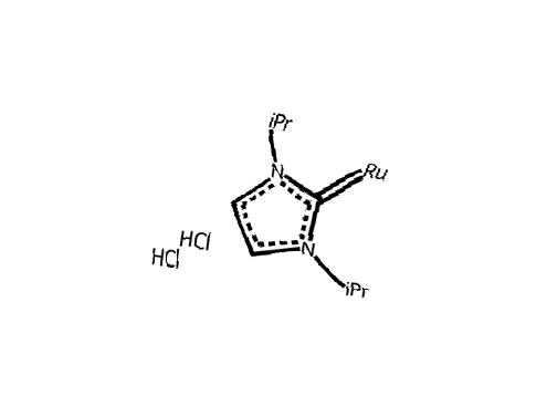 CC(C)n1ccn(C(C)C)[c]1=[Ru].Cl.Cl